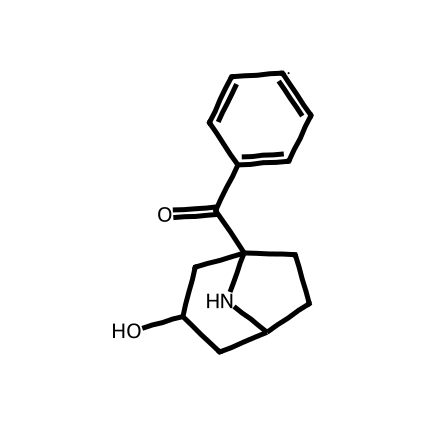 O=C(c1cc[c]cc1)C12CCC(CC(O)C1)N2